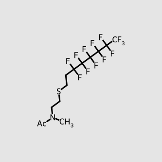 CC(=O)N(C)CCSCCC(F)(F)C(F)(F)C(F)(F)C(F)(F)C(F)(F)C(F)(F)F